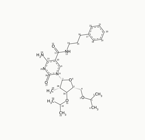 CC(C)OC[C@H]1O[C@@H](n2cc(C(=O)NCCCc3ccccc3)c(N)nc2=O)[C@@H](C)C1OC(C)C